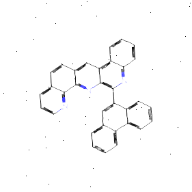 c1ccc2c(c1)cc(-c1nc3ccccc3c3cc4ccc5cccnc5c4nc13)c1ccccc12